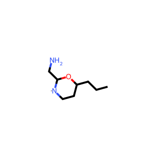 CCCC1CC[N]C(CN)O1